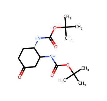 CC(C)(C)OC(=O)NC1CC(=O)CC[C@@H]1NC(=O)OC(C)(C)C